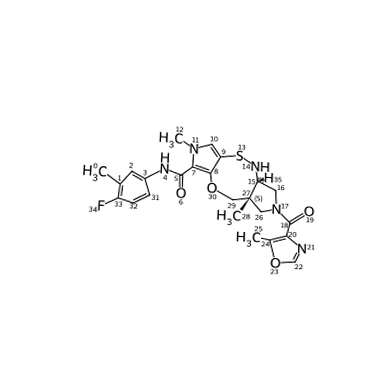 Cc1cc(NC(=O)c2c3c(cn2C)SN[C@@H]2CN(C(=O)c4ncoc4C)C[C@]2(C)CO3)ccc1F